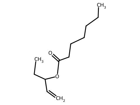 C=CC(CC)OC(=O)CCCCCC